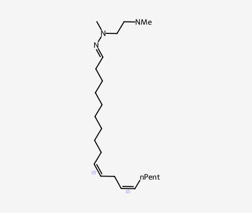 CCCCC/C=C\C/C=C\CCCCCCCCC=NN(C)CCNC